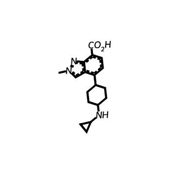 Cn1cc2c(C3CCC(NC4CC4)CC3)ccc(C(=O)O)c2n1